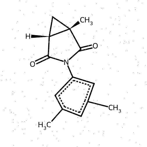 Cc1cc(C)cc(N2C(=O)[C@@H]3C[C@]3(C)C2=O)c1